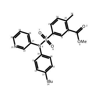 COC(=O)c1cc(S(=O)(=O)N(c2ccc(C(C)(C)C)cc2)c2cccnc2)ccc1C